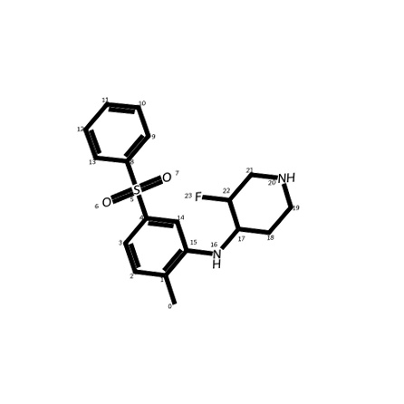 Cc1ccc(S(=O)(=O)c2ccccc2)cc1NC1CCNCC1F